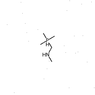 CNC[PH](C)(C)C